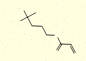 C=CC(=O)OCCCC(C)(O)C(=O)O